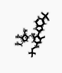 Cc1nc(NCC(C)(C)C)nc(N[C@@H]2C[C@H](CO)[C@@H](O)[C@H]2O)c1-c1cc2cc(C(C)(C)C)ncc2o1